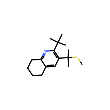 CSC(C)(C)c1cc2c(nc1C(C)(C)C)CCCC2